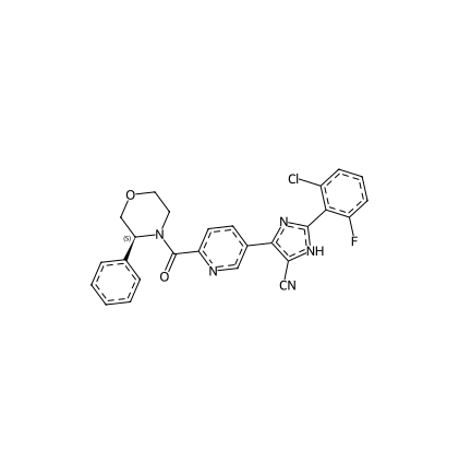 N#Cc1[nH]c(-c2c(F)cccc2Cl)nc1-c1ccc(C(=O)N2CCOC[C@@H]2c2ccccc2)nc1